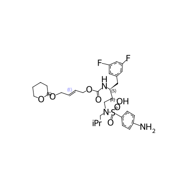 CC(C)CN(C[C@@H](O)[C@H](Cc1cc(F)cc(F)c1)NC(=O)OC/C=C/CO[C@H]1CCCCO1)S(=O)(=O)c1ccc(N)cc1